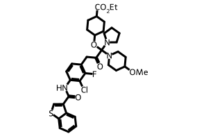 CCOC(=O)C1CCC(OC(C(=O)Cc2ccc(NC(=O)c3csc4ccccc34)c(Cl)c2F)(N2CCCC2)N2CCC(OC)CC2)CC1